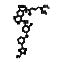 COc1cc2ncnc(Nc3ccc(Oc4cccc(-c5nnc(C(C)C)o5)c4)cc3F)c2cc1NC(=O)/C=C/CN(C)C